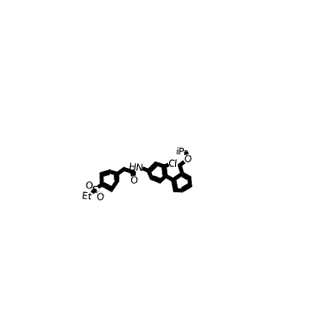 CCS(=O)(=O)c1ccc(CC(=O)Nc2ccc(-c3ccccc3COC(C)C)c(Cl)c2)cc1